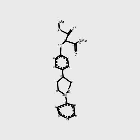 CCCCOC(=O)C(Oc1ccc(C2CCN(c3ccncc3)CC2)cc1)C(=O)NC